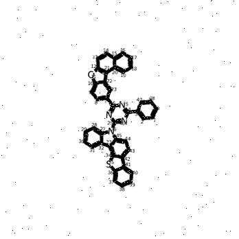 c1ccc(-c2nc(-c3ccc4oc5ccc6ccccc6c5c4c3)nc(-n3c4ccccc4c4c5sc6ccccc6c5ccc43)n2)cc1